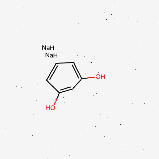 Oc1cccc(O)c1.[NaH].[NaH]